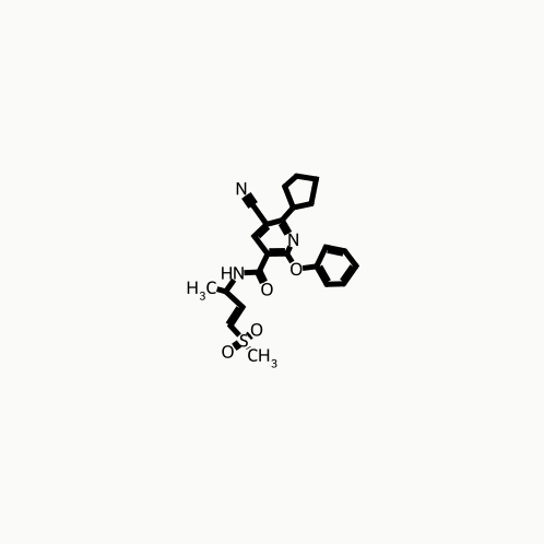 CC(C=CS(C)(=O)=O)NC(=O)c1cc(C#N)c(C2CCCC2)nc1Oc1ccccc1